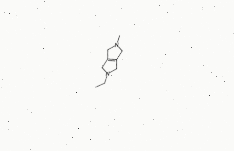 CCN1CC2=C(CN(C)C2)C1